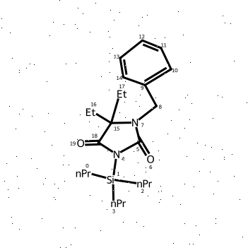 CCC[Si](CCC)(CCC)N1C(=O)N(Cc2ccccc2)C(CC)(CC)C1=O